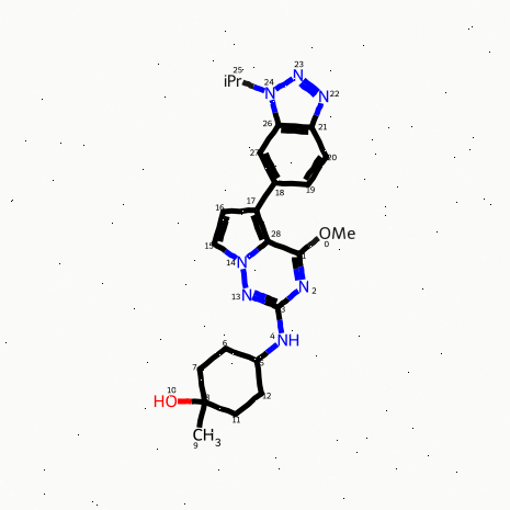 COc1nc(NC2CCC(C)(O)CC2)nn2ccc(-c3ccc4nnn(C(C)C)c4c3)c12